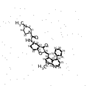 CN1CCN(C(=O)Nc2ccc3c(c2)C(=O)C(=Cc2cn(C)c4nccc(-c5ccccc5)c24)O3)CC1